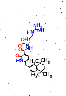 CC1(C)CCC(C)(C)c2cc(Cc3ccc(C(=O)N[C@@H](CCCNC(=N)N)C(=O)O)c(=O)[nH]3)ccc21